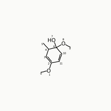 COC1=CC(C)C(O)(OC)C=C1